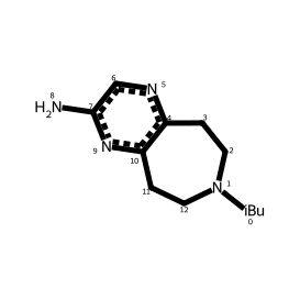 CCC(C)N1CCc2ncc(N)nc2CC1